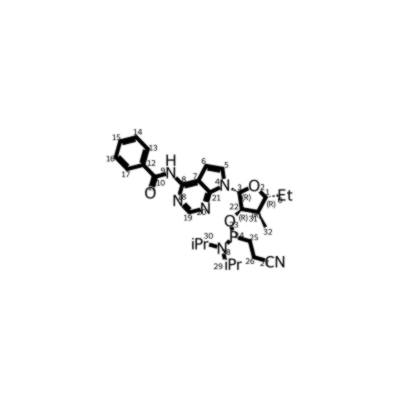 CC[C@H]1O[C@@H](n2ccc3c(NC(=O)c4ccccc4)ncnc32)[C@H](OP(CCC#N)N(C(C)C)C(C)C)[C@@H]1C